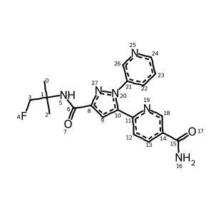 CC(C)(CF)NC(=O)c1cc(-c2ccc(C(N)=O)cn2)n(-c2cccnc2)n1